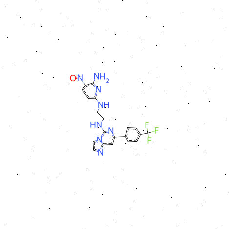 Nc1nc(NCCNc2nc(-c3ccc(C(F)(F)F)cc3)cc3nccn23)ccc1N=O